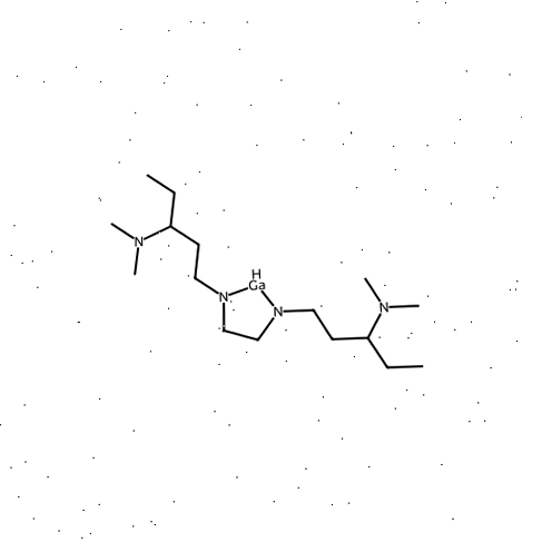 CCC(CC[N]1CC[N](CCC(CC)N(C)C)[GaH]1)N(C)C